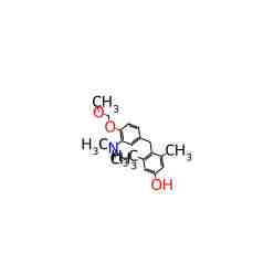 COCOc1ccc(Cc2c(C)cc(O)cc2C)cc1N(C)C